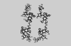 C=C1C[C@@H](CO[Si](C)(C)C(C)(C)C)N(C(=O)c2cc(OC)c(OCCCOc3cc([N+](=O)[O-])c(C(=O)N4CC(=C)C[C@H]4CO[Si](C)(C)C(C)(C)C)cc3OC)cc2[N+](=O)[O-])C1.COc1cc(C(=O)N2C=C(C)C[C@H]2CO[Si](C)(C)C(C)(C)C)c([N+](=O)[O-])cc1OCCCOc1cc([N+](=O)[O-])c(C(=O)N2C=C(C)C[C@H]2CO[Si](C)(C)C(C)(C)C)cc1OC